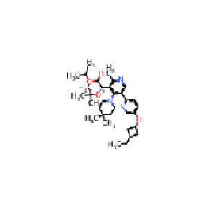 CCC1CC(Oc2ccc(-c3cnc(C)c([C@H](OC(C)(C)C)C(=O)OC(C)C)c3N3CCC(C)(C)CC3)nc2)C1